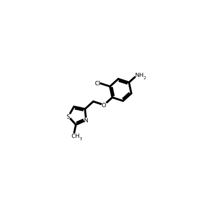 Cc1nc(COc2ccc(N)cc2Cl)cs1